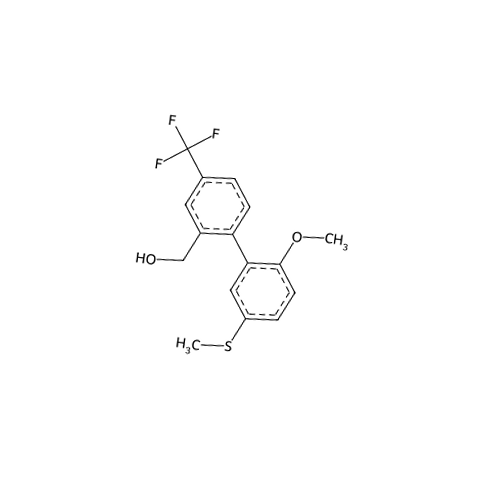 COc1ccc(SC)cc1-c1ccc(C(F)(F)F)cc1CO